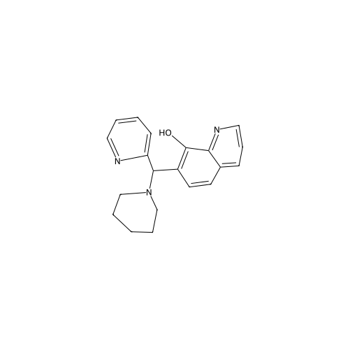 Oc1c(C(c2ccccn2)N2CCCCC2)ccc2cccnc12